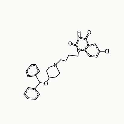 O=c1[nH]c(=O)n(CCCCN2CCC(OC(c3ccccc3)c3ccccc3)CC2)c2ccc(Cl)cc12